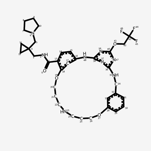 O=C(NCC1(CN2CCCC2)CC1)c1ccc2cc1OCCCNCCCOc1cccc(c1)CNc1nc(nc(OCC(F)(F)F)n1)N2